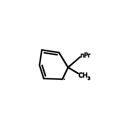 CCCC1(C)[CH]C=CC=C1